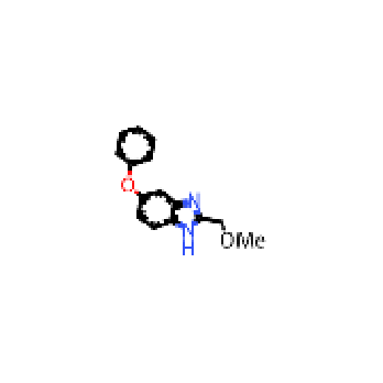 COCc1nc2cc(Oc3ccccc3)ccc2[nH]1